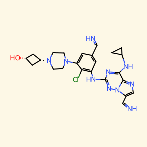 N=Cc1cc(Nc2nc(NC3CC3)c3ncc(C=N)n3n2)c(Cl)c(N2CCN([C@H]3C[C@@H](O)C3)CC2)c1